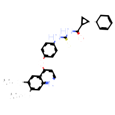 COc1cc2nccc(Oc3ccc(NC(=S)NC(=O)C4C[C@@H]4C4C=CC=CC4)cc3)c2cc1OC